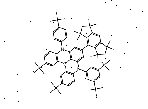 CC(C)(C)c1ccc(N2c3ccc(C(C)(C)C)cc3B3c4cc(C(C)(C)C)ccc4N(c4cc(C(C)(C)C)cc(C(C)(C)C)c4)c4cc(-c5c6c(cc7c5C(C)(C)CC7(C)C)C(C)(C)CC6(C)C)cc2c43)cc1